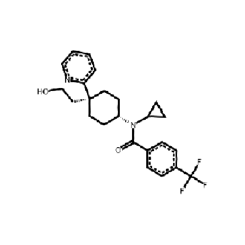 O=C(c1ccc(C(F)(F)F)cc1)N(C1CC1)[C@H]1CC[C@](CCO)(c2ccccn2)CC1